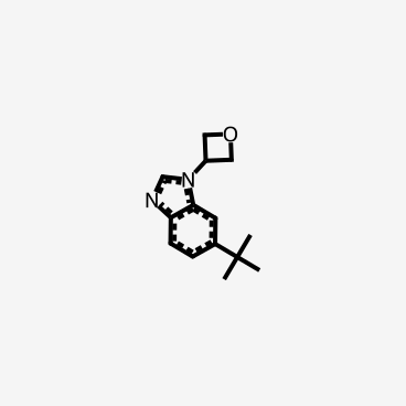 CC(C)(C)c1ccc2ncn(C3COC3)c2c1